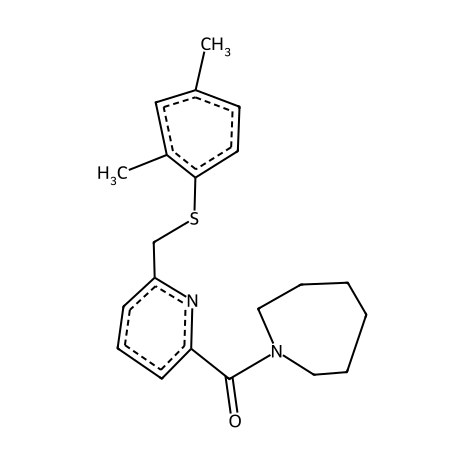 Cc1ccc(SCc2cccc(C(=O)N3CCCCCC3)n2)c(C)c1